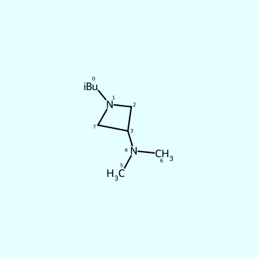 CCC(C)N1CC(N(C)C)C1